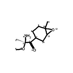 CO[C@@](C)(N)C(=O)C1CCC2(C)OC2C1